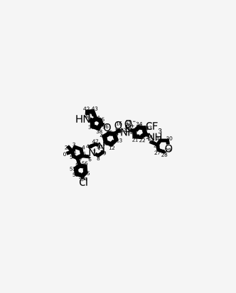 CC1(C)CCC(CN2CCN(c3ccc(C(=O)N[S+]([O-])c4ccc(NCC5CCOCC5)c(C(F)(F)F)c4)c(Oc4ccc5[nH]ccc5c4)c3)CC2)=C(c2ccc(Cl)cc2)C1